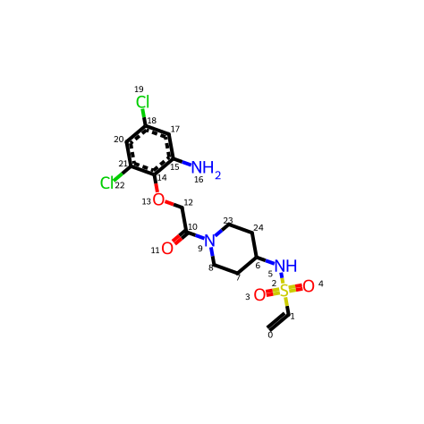 C=CS(=O)(=O)NC1CCN(C(=O)COc2c(N)cc(Cl)cc2Cl)CC1